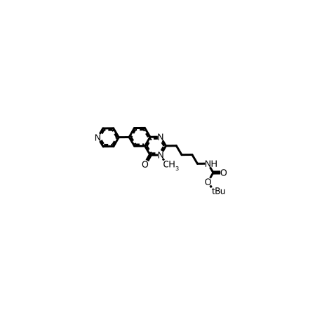 Cn1c(CCCCNC(=O)OC(C)(C)C)nc2ccc(-c3ccncc3)cc2c1=O